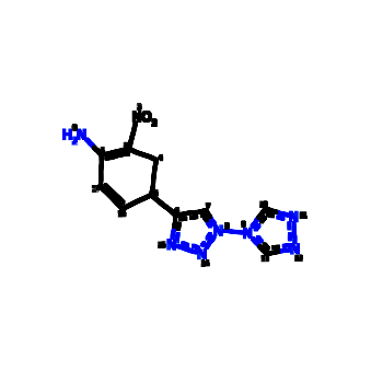 NC1=C([N+](=O)[O-])CC(c2cn(-n3cnnc3)nn2)C=C1